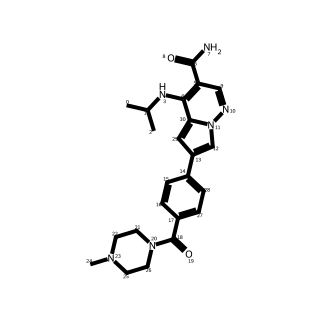 CC(C)Nc1c(C(N)=O)cnn2cc(-c3ccc(C(=O)N4CCN(C)CC4)cc3)cc12